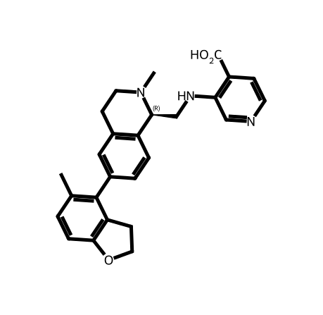 Cc1ccc2c(c1-c1ccc3c(c1)CCN(C)[C@H]3CNc1cnccc1C(=O)O)CCO2